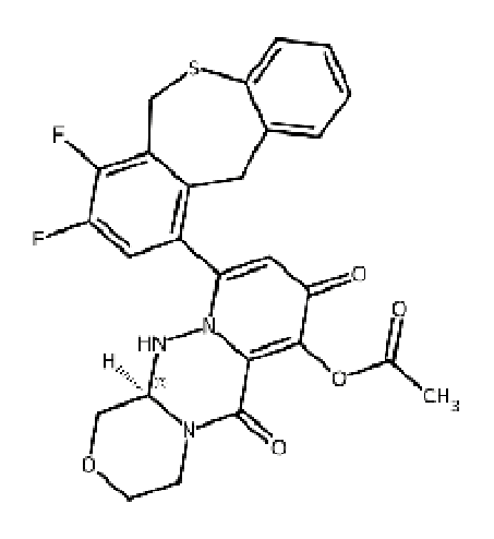 CC(=O)Oc1c2n(c(-c3cc(F)c(F)c4c3Cc3ccccc3SC4)cc1=O)N[C@@H]1COCCN1C2=O